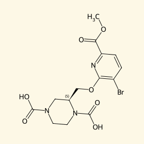 COC(=O)c1ccc(Br)c(OC[C@@H]2CN(C(=O)O)CCN2C(=O)O)n1